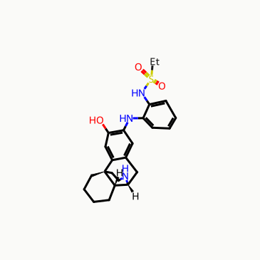 CCS(=O)(=O)Nc1ccccc1Nc1cc2c(cc1O)[C@@]13CCCC[C@H]1[C@@H](C2)NCC3